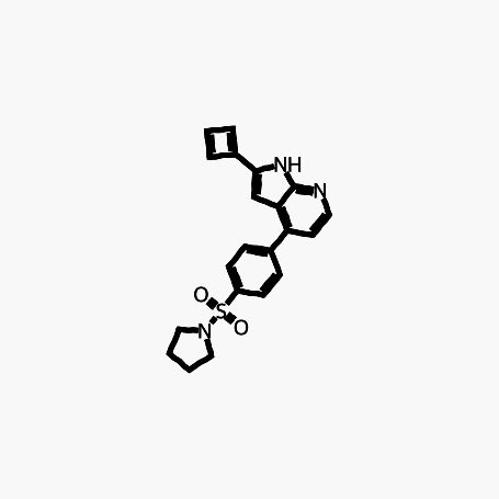 O=S(=O)(c1ccc(-c2ccnc3[nH]c(C4=CC=C4)cc23)cc1)N1CCCC1